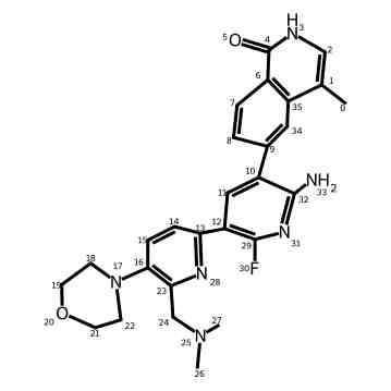 Cc1c[nH]c(=O)c2ccc(-c3cc(-c4ccc(N5CCOCC5)c(CN(C)C)n4)c(F)nc3N)cc12